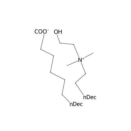 CCCCCCCCCCCCCCCC(=O)[O-].CCCCCCCCCCCC[N+](C)(C)CCO